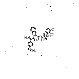 COc1ccc(N(C)C(=O)[C@H](Cc2ccccc2)NC(=O)CNS(=O)(=O)Nc2cccc(Cl)c2Cl)cc1